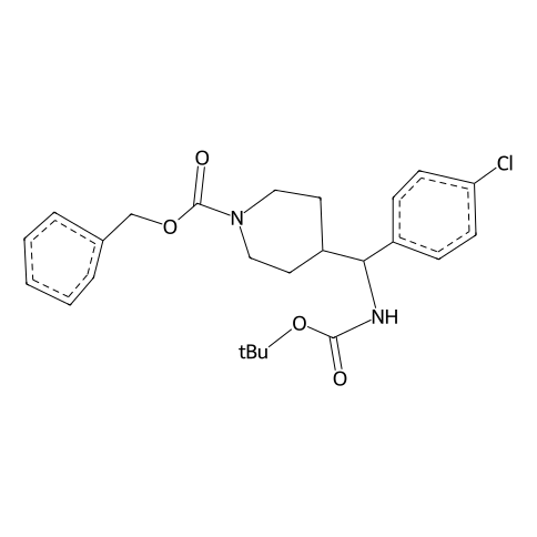 CC(C)(C)OC(=O)NC(c1ccc(Cl)cc1)C1CCN(C(=O)OCc2ccccc2)CC1